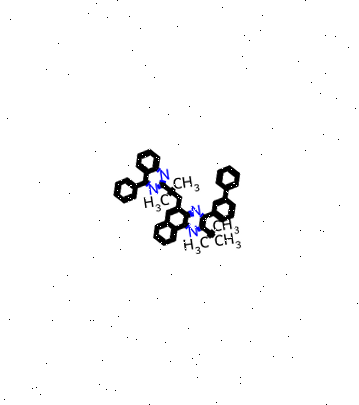 CC(C)(C)c1nc2c(nc1-c1cccc(-c3ccccc3)c1)c(CC(C)(C)c1nc(-c3ccccc3)c3ccccc3n1)cc1ccccc12